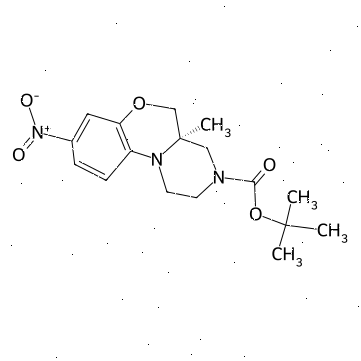 CC(C)(C)OC(=O)N1CCN2c3ccc([N+](=O)[O-])cc3OC[C@@]2(C)C1